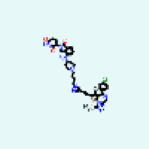 Cc1c(C#Cc2cnn(CCCCN3CCC(Nc4cccc5c4CN(C4CCC(=O)NC4=O)C5=O)CC3)c2)sc2c1C(c1ccc(Cl)cc1)=NCc1nnc(C)n1-2